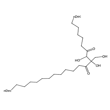 CCCCCCCCCCCCCCCCCCCCCC(=O)C(O)(CO)C(O)C(=O)CCCCCCCCCCCCCCC